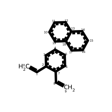 C=Cc1ccccc1C=C.c1ccc2ccccc2c1